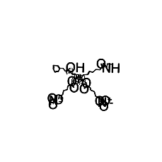 CCNC(=O)CCCC=CC[C@@H]1[C@@H](C=C[C@@H](O)CCc2ccccc2)[C@H](OC(=O)CCCCCO[N+](=O)[O-])C[C@@H]1OC(=O)CCCCCO[N+](=O)[O-]